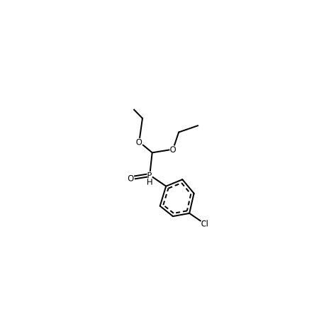 CCOC(OCC)[PH](=O)c1ccc(Cl)cc1